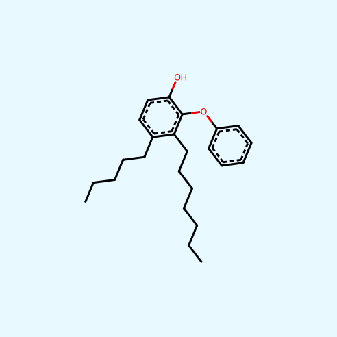 CCCCCCCc1c(CCCCC)ccc(O)c1Oc1ccccc1